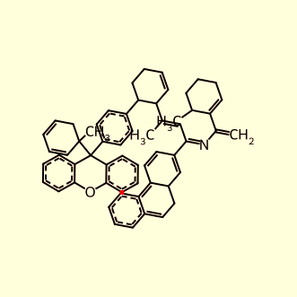 C=C(/N=C(\C=C(/C)C1C=CCCC1c1ccc(C2(C3(C)C=CC=CC3)c3ccccc3Oc3ccccc32)cc1)C1=CC2CC=c3ccccc3=C2C=C1)C1=CCCCC1C